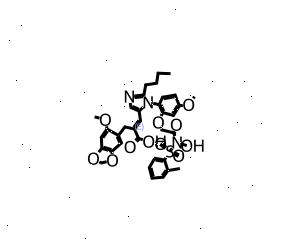 CCCCc1ncc(/C=C(\Cc2cc3c(cc2OC)OCO3)C(=O)O)n1-c1ccc(OC)cc1OCC(=O)N(O)S(=O)(=O)c1ccccc1C